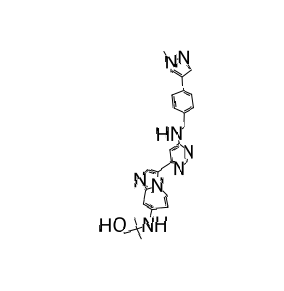 Cn1cc(-c2ccc(CNc3cc(-c4cnc5cc(NC(C)(C)CO)ccn45)ncn3)cc2)cn1